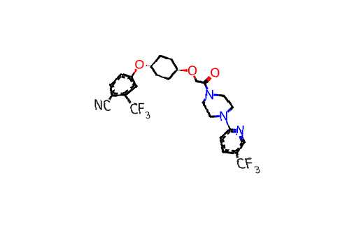 N#Cc1ccc(O[C@H]2CC[C@H](OCC(=O)N3CCN(c4ccc(C(F)(F)F)cn4)CC3)CC2)cc1C(F)(F)F